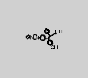 OCCC/C(=C(/C1=CC=C(N2CCN(C3CCC3)CC2)CC1)c1ccc(O)cc1)c1ccccc1